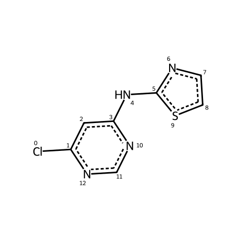 Clc1cc(Nc2nccs2)ncn1